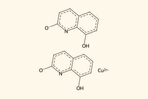 [Cu+2].[O-]c1ccc2cccc(O)c2n1.[O-]c1ccc2cccc(O)c2n1